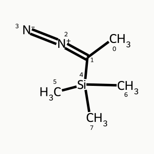 CC(=[N+]=[N-])[Si](C)(C)C